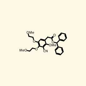 COCCOc1cc([CH]C(=O)OC(c2ccccc2)c2ccccc2)c(OC)c(C#N)c1OCCOC